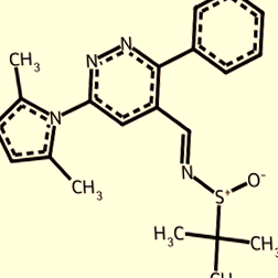 Cc1ccc(C)n1-c1cc(/C=N/[S+]([O-])C(C)(C)C)c(-c2ccccc2)nn1